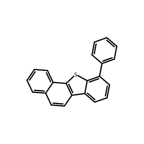 c1ccc(-c2cccc3c2sc2c4ccccc4ccc32)cc1